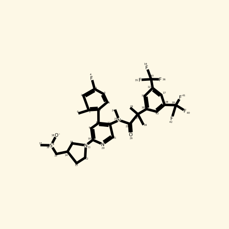 Cc1cc(F)ccc1-c1cc(N2CCC(C[S+](C)[O-])C2)ncc1N(C)C(=O)C(C)(C)c1cc(C(F)(F)F)cc(C(F)(F)F)c1